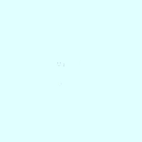 ClC1CCOCC1.[Mg]